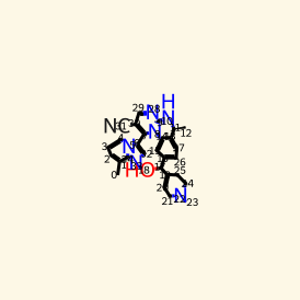 Cc1cccn2c(-c3nc(N[C@@H](C)c4ccc(C(O)C5=CCN(C)CC5)cc4)ncc3C#N)cnc12